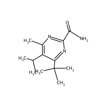 Cc1nc(C(N)=O)nc(C(C)(C)C)c1C(C)C